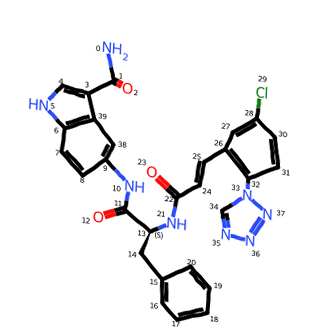 NC(=O)c1c[nH]c2ccc(NC(=O)[C@H](Cc3ccccc3)NC(=O)C=Cc3cc(Cl)ccc3-n3cnnn3)cc12